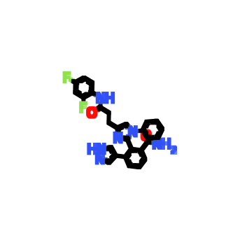 NC(=O)c1cccc(-c2cn[nH]c2)c1-c1nc(CCC(=O)Nc2ccc(F)cc2F)cn1-c1ccccc1